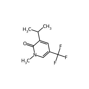 CC(C)c1cc(C(F)(F)F)cn(C)c1=O